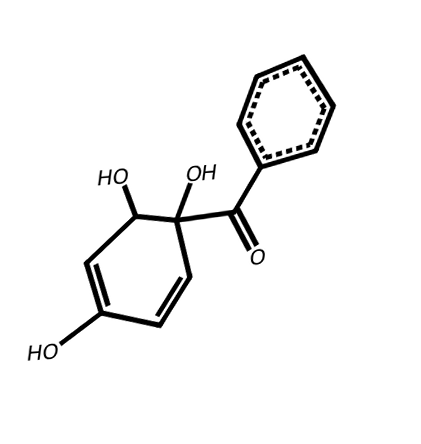 O=C(c1ccccc1)C1(O)C=CC(O)=CC1O